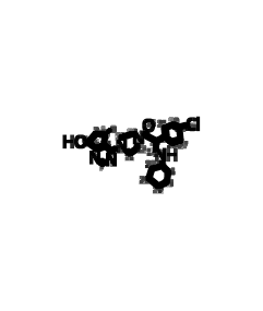 C[C@@H]1C[C@H](O)c2ncnc(N3CCN(C(=O)C(CNC4CCCCC4)c4ccc(Cl)cc4)CC3)c21